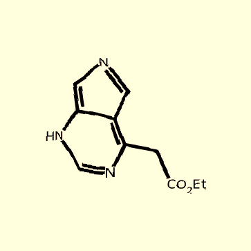 CCOC(=O)Cc1nc[nH]c2cncc1-2